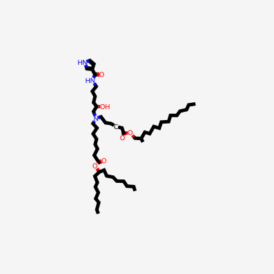 CCCCCCCCCCCCC(C)COC(=O)CCCCCN(CCCCCCCC(=O)OC(CCCCCCCC)CCCCCCCC)CC(O)CCCCNC(=O)c1cc[nH]c1